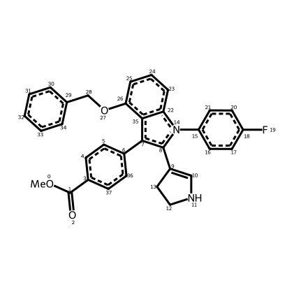 COC(=O)c1ccc(-c2c(C3=CNCC3)n(-c3ccc(F)cc3)c3cccc(OCc4ccccc4)c23)cc1